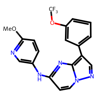 COc1ccc(Nc2ccn3ncc(-c4cccc(OC(F)(F)F)c4)c3n2)cn1